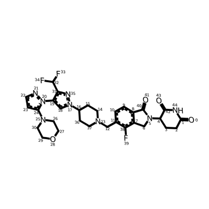 O=C1CCC(N2Cc3c(ccc(CN4CCC(n5cc(-n6nccc6N6CCOCC6)c(C(F)F)n5)CC4)c3F)C2=O)C(=O)N1